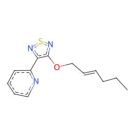 CCC/C=C/COc1nsnc1-c1ccccn1